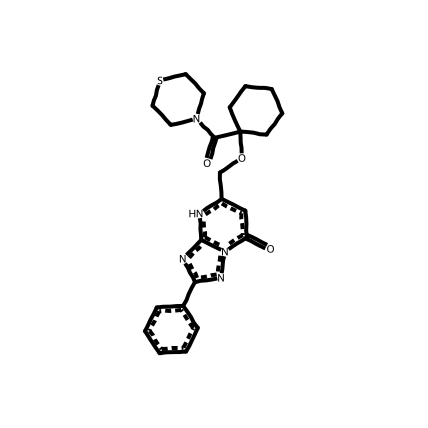 O=C(N1CCSCC1)C1(OCc2cc(=O)n3nc(-c4ccccc4)nc3[nH]2)CCCCC1